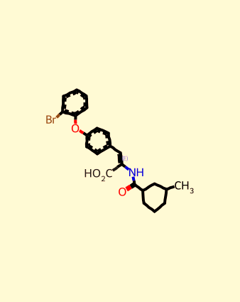 CC1CCCC(C(=O)N/C(=C/c2ccc(Oc3ccccc3Br)cc2)C(=O)O)C1